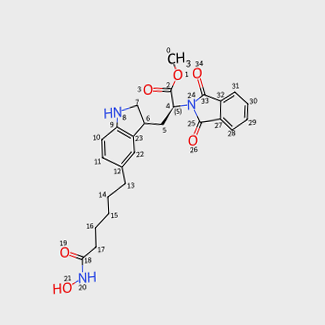 COC(=O)[C@H](CC1CNc2ccc(CCCCCC(=O)NO)cc21)N1C(=O)c2ccccc2C1=O